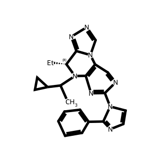 CC[C@@H]1c2nncn2-c2cnc(-n3ccnc3-c3ccccc3)nc2N1C(C)C1CC1